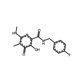 CNc1nc(C(=O)NCc2ccc(F)cc2)c(O)c(=O)n1C